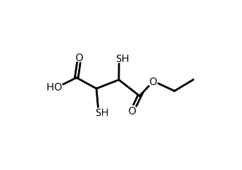 CCOC(=O)C(S)C(S)C(=O)O